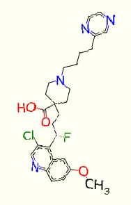 COc1ccc2ncc(Cl)c([C@@H](F)CCC3(C(=O)O)CCN(CCCCc4cnccn4)CC3)c2c1